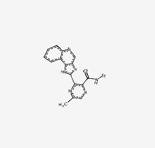 CCNC(=O)c1ncc(C)nc1-c1nc2cnc3ccccc3c2[nH]1